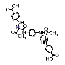 CC(=O)/C(=N/Nc1ccc(C(=O)O)cc1)C(=O)Nc1ccc(NC(=O)/C(=N\Nc2ccc(C(=O)O)cc2)C(C)=O)cc1